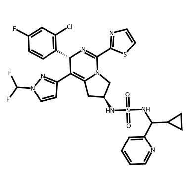 O=S(=O)(NC(c1ccccn1)C1CC1)N[C@H]1CC2=C(c3ccn(C(F)F)n3)[C@H](c3ccc(F)cc3Cl)N=C(c3nccs3)N2C1